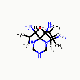 CC(C)C(C)(N)N1CNCNC1(C(C)(N)C(C)C)C(C)(N)C(C)C